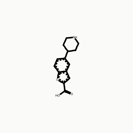 O=C(O)c1cc2cc(C3CCNCC3)ccc2o1